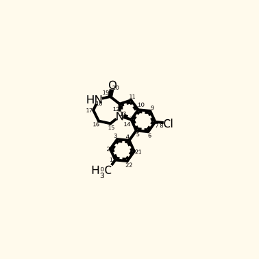 Cc1ccc(-c2cc(Cl)cc3cc4n(c23)CCCNC4=O)cc1